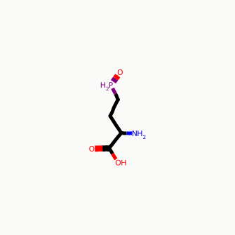 NC(CC[PH2]=O)C(=O)O